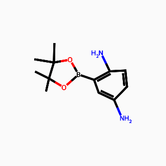 CC1(C)OB(c2cc(N)ccc2N)OC1(C)C